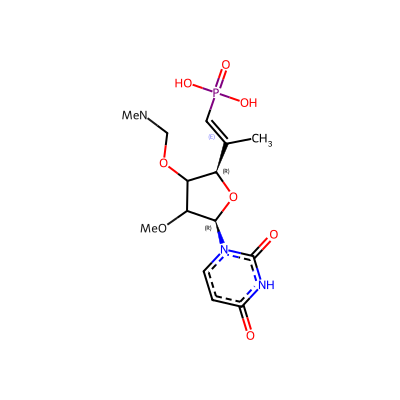 CNCOC1C(OC)[C@H](n2ccc(=O)[nH]c2=O)O[C@@H]1/C(C)=C/P(=O)(O)O